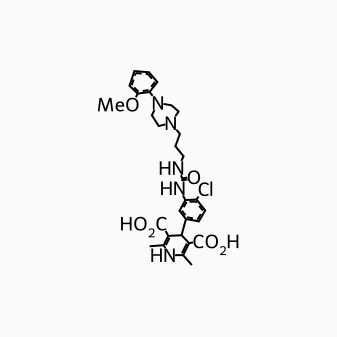 COc1ccccc1N1CCN(CCCNC(=O)Nc2cc(C3C(C(=O)O)=C(C)NC(C)=C3C(=O)O)ccc2Cl)CC1